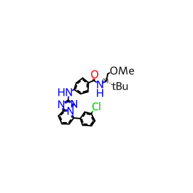 COC[C@@H](NC(=O)c1ccc(Nc2nc3cccc(-c4cccc(Cl)c4)n3n2)cc1)C(C)(C)C